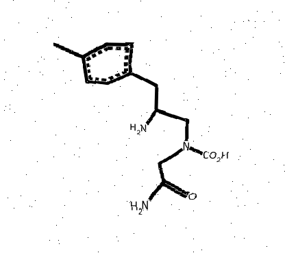 Cc1ccc(CC(N)CN(CC(N)=O)C(=O)O)cc1